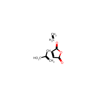 C=C.C=C(C)C(=O)O.O=C1C=CC(=O)O1